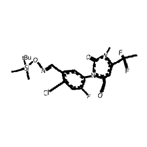 Cn1c(C(C)(F)F)cc(=O)n(-c2cc(/C=N/O[Si](C)(C)C(C)(C)C)c(Cl)cc2F)c1=O